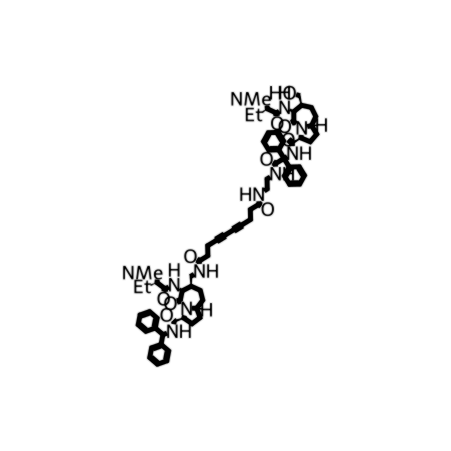 CC[C@H](NC)C(=O)N[C@@H]1C(=O)N2[C@@H](CC[C@@H]1CNC(=O)CCC#CC#CCCC(=O)NCCNC(=O)C(NC(=O)[C@@H]1CC[C@@H]3CC[C@H](CO)[C@H](NC(=O)[C@H](CC)NC)C(=O)N31)(c1ccccc1)c1ccccc1)CC[C@H]2C(=O)NC(c1ccccc1)c1ccccc1